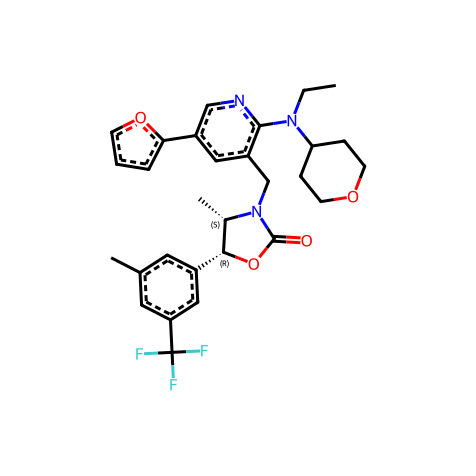 CCN(c1ncc(-c2ccco2)cc1CN1C(=O)O[C@H](c2cc(C)cc(C(F)(F)F)c2)[C@@H]1C)C1CCOCC1